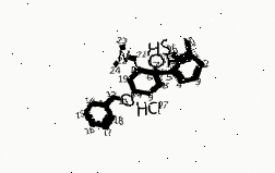 Cc1cccc([C@]2(O)CC[C@@H](OCc3ccccc3)C[C@H]2CN(C)C)c1S.Cl